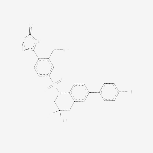 CC(C)Cc1cc(S(=O)(=O)N2CC(C)(C)Cc3cc(-c4ccc(C(F)(F)F)cc4)ccc32)ccc1-c1noc(=O)[nH]1